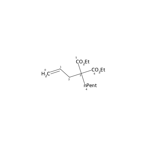 C=CCC(CCCCC)(C(=O)OCC)C(=O)OCC